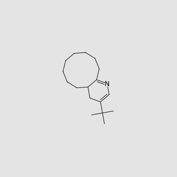 CC(C)(C)C1=CN=C2CCCCCCCCC2C1